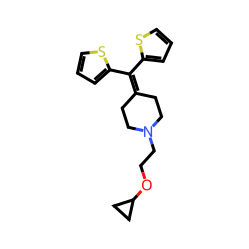 c1csc(C(=C2CCN(CCOC3CC3)CC2)c2cccs2)c1